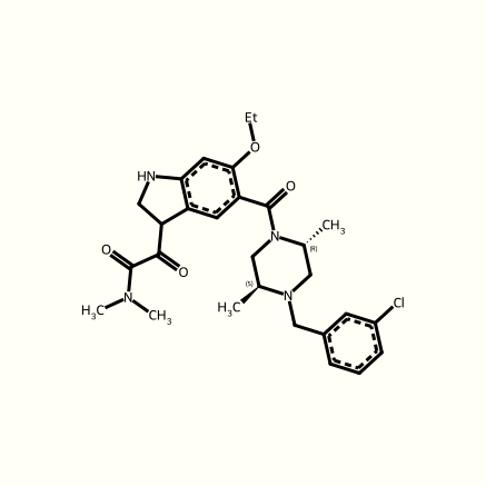 CCOc1cc2c(cc1C(=O)N1C[C@H](C)N(Cc3cccc(Cl)c3)C[C@H]1C)C(C(=O)C(=O)N(C)C)CN2